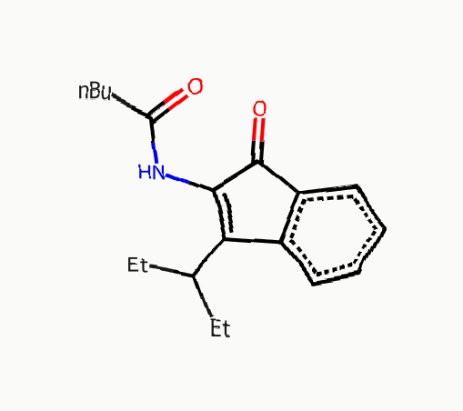 CCCCC(=O)NC1=C(C(CC)CC)c2ccccc2C1=O